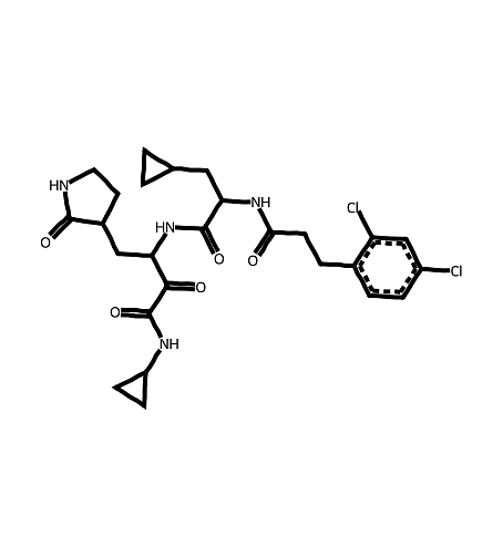 O=C(CCc1ccc(Cl)cc1Cl)NC(CC1CC1)C(=O)NC(CC1CCNC1=O)C(=O)C(=O)NC1CC1